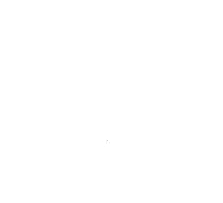 Cc1ccc([N+](=O)[O-])cc1-c1c[c]ccc1